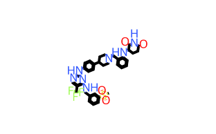 CS(=O)(=O)c1cccc(CNc2nc(Nc3ccc(C4CCN(Cc5ccccc5NC5CCC(=O)NC5=O)CC4)cc3)ncc2C(F)(F)F)c1